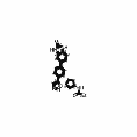 CCC(=O)N[C@H]1CC[C@@H](n2nncc2-c2ccc(-c3ccc4[nH]c(=O)[nH]c4c3)cc2)C1